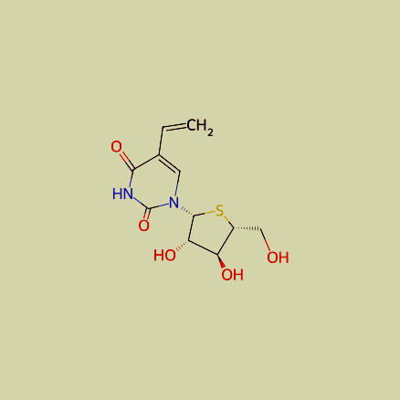 C=Cc1cn([C@@H]2S[C@H](CO)[C@@H](O)[C@@H]2O)c(=O)[nH]c1=O